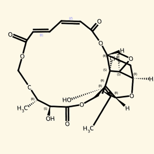 CC1=C[C@H]2O[C@@H]3C[C@H]4OC(=O)/C=C\C=C\C(=O)OCC[C@@H](C)[C@H](O)C(=O)OC[C@@]2(C[C@H]1O)[C@]4(C)[C@]31CO1